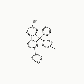 Cc1ccc(C2(c3ccccc3)c3cc(Br)ccc3-c3ccc(-c4ccccc4)cc32)cc1